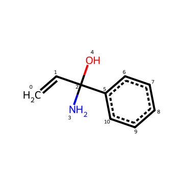 C=CC(N)(O)c1ccccc1